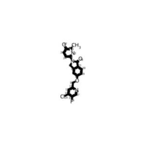 Cn1nc(N2Cc3cc(OCc4cc(Cl)c(F)cn4)ccc3C2=O)ccc1=O